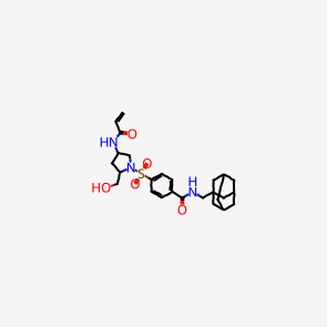 C=CC(=O)NC1CC(CO)N(S(=O)(=O)c2ccc(C(=O)NCC34CC5CC(CC(C5)C3)C4)cc2)C1